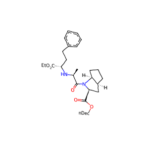 CCCCCCCCCCOC(=O)[C@@H]1C[C@@H]2CCC[C@@H]2N1C(=O)[C@H](C)N[C@@H](CCc1ccccc1)C(=O)OCC